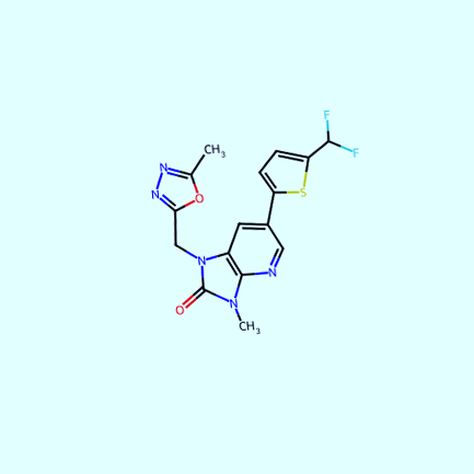 Cc1nnc(Cn2c(=O)n(C)c3ncc(-c4ccc(C(F)F)s4)cc32)o1